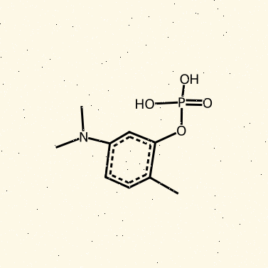 Cc1ccc(N(C)C)cc1OP(=O)(O)O